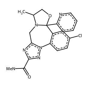 CNC(=O)c1nc2n(n1)-c1ccc(Cl)cc1C1(c3ccccn3)OCC(C)N1C2